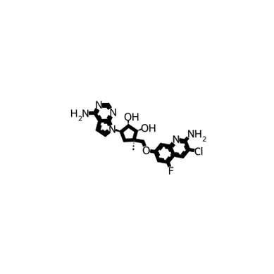 C[C@]1(COc2cc(F)c3cc(Cl)c(N)nc3c2)C[C@@H](n2ccc3c(N)ncnc32)[C@H](O)[C@@H]1O